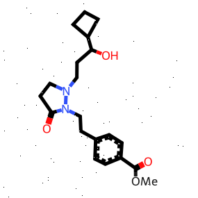 COC(=O)c1ccc(CCN2C(=O)CCN2CCC(O)C2CCC2)cc1